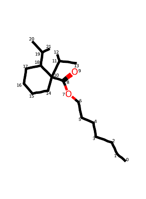 CCCCCCCOC(=O)C1(C(C)C)CCCCC1C(C)C